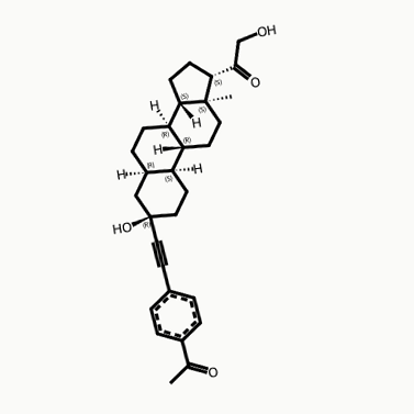 CC(=O)c1ccc(C#C[C@@]2(O)CC[C@H]3[C@H](CC[C@@H]4[C@@H]3CC[C@]3(C)[C@@H](C(=O)CO)CC[C@@H]43)C2)cc1